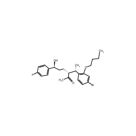 CCCCOc1cc(Br)ccc1[C@@H](C)[C@@H](CC[C@H](O)c1ccc(F)cc1)C(C)=O